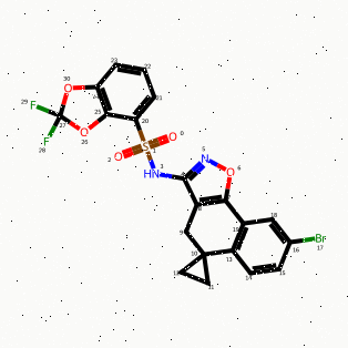 O=S(=O)(Nc1noc2c1CC1(CC1)c1ccc(Br)cc1-2)c1cccc2c1OC(F)(F)O2